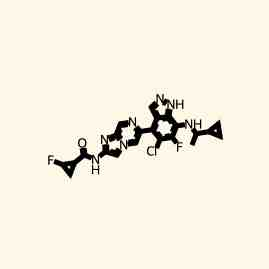 CC(Nc1c(F)c(Cl)c(-c2cn3cc(NC(=O)C4CC4F)nc3cn2)c2cn[nH]c12)C1CC1